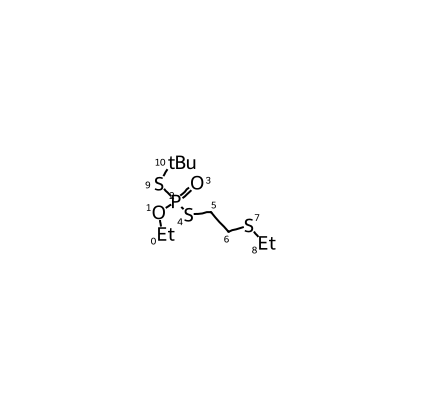 CCOP(=O)(SCCSCC)SC(C)(C)C